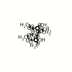 C=C(C)C(=O)OC(=O)c1cc(OC)c(O)c(OC)c1.C=CC(=O)OC(=O)c1cc(OC)c(OC(C)(C)C)c(OC)c1